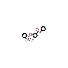 COc1ccccc1COc1cccc(C(=O)Cc2ccccc2)c1